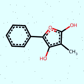 Cc1c(O)oc(-c2ccccc2)c1O